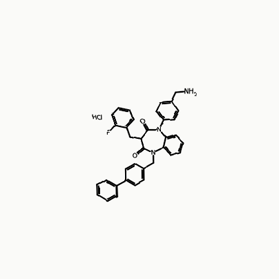 Cl.NCc1ccc(N2C(=O)C(Cc3ccccc3F)C(=O)N(Cc3ccc(-c4ccccc4)cc3)c3ccccc32)cc1